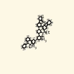 CCC(Cc1ccccc1-c1cc(-c2ccc3c(c2)-c2ccccc2C(c2ccccc2)C3C)ccc1C)c1cc(-c2cccc3c2sc2ccccc23)c2sc3ccccc3c2c1